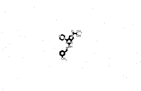 Cc1cccc(/C=N/Nc2nc3c(c(N4CCOCC4)n2)CN(C(=O)[C@@H](C)O)C3)c1